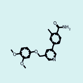 COc1ccc(OCc2cncc(-c3ccc(C(N)=O)c(C)c3)c2)cc1OC